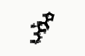 CC(C)[C@H](NC(=O)[C@@H]1CCCN1)C(=O)NCC(=O)O